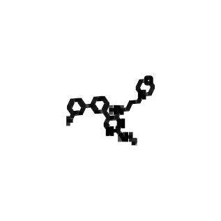 Nc1ncc(-c2cccc(-c3cccc(F)c3)c2)c(NCCCN2CCOCC2)n1